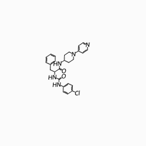 O=C(Nc1ccc(Cl)cc1)NC(Cc1ccccc1)C(=O)NC1CCN(c2ccncc2)CC1